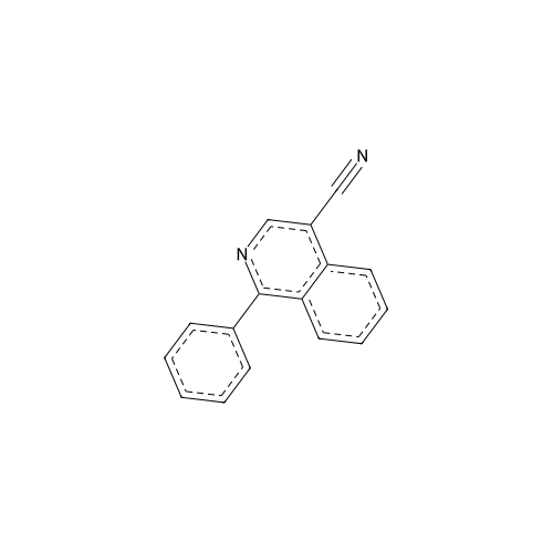 N#Cc1cnc(-c2ccccc2)c2ccccc12